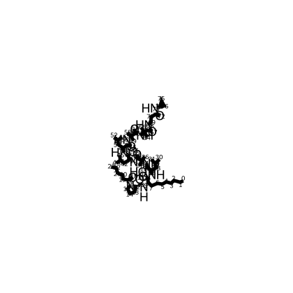 CCCCCCCCC(NC(=O)[C@@H]1CCCN1C(=O)CCCCC)C(=O)NC(CC(C)C)C(=O)NC(C)(C)C(=O)NC(CC(C)C)C(=O)NC(CC(C)C)C(=O)NC(C)(C)C(=O)NC(C)(C)C(=O)NCCC(=O)NC1CC1